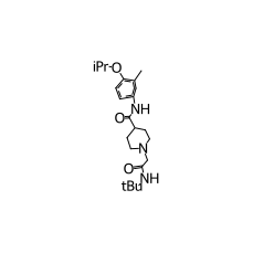 Cc1cc(NC(=O)C2CCN(CC(=O)NC(C)(C)C)CC2)ccc1OC(C)C